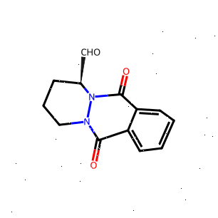 O=C[C@@H]1CCCn2c(=O)c3ccccc3c(=O)n21